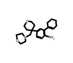 Nc1ccc(C2(CN3CCOCC3)CCOCC2)cc1C1=CCCCC1